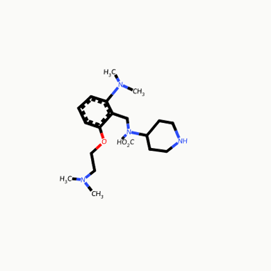 CN(C)CCOc1cccc(N(C)C)c1CN(C(=O)O)C1CCNCC1